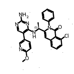 COc1ccc(-c2cnc(N)nc2N[C@@H](C)c2cc3cccc(Cl)c3c(=O)n2-c2ccccc2)cn1